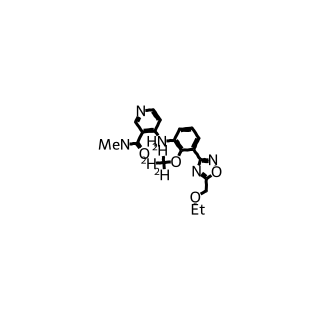 [2H]C([2H])([2H])Oc1c(Nc2ccncc2C(=O)NC)cccc1-c1noc(COCC)n1